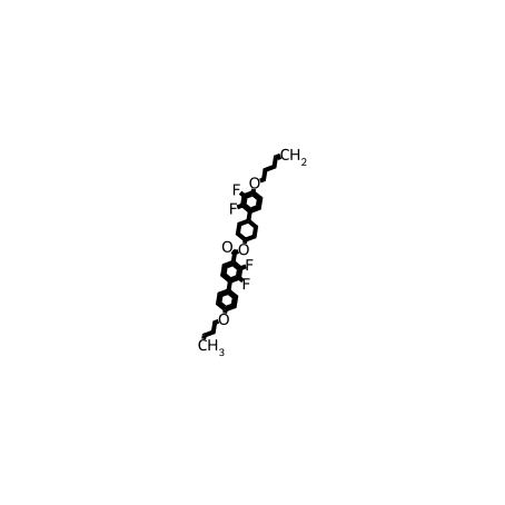 C=CCCCOc1ccc(C2CCC(OC(=O)c3ccc(-c4ccc(OCCCC)cc4)c(F)c3F)CC2)c(F)c1F